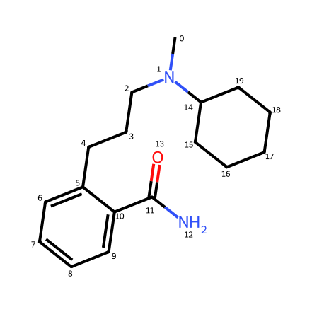 CN(CCCc1ccccc1C(N)=O)C1CCCCC1